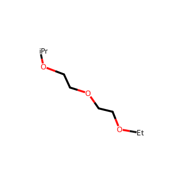 [CH2]COCCOCCOC(C)C